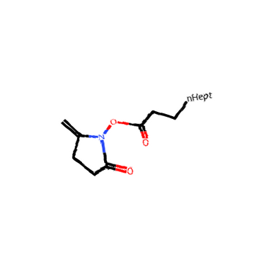 C=C1CCC(=O)N1OC(=O)CCCCCCCCC